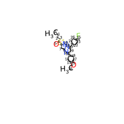 CCCC[S+]([O-])c1cc2nc(-c3ccc(OC)cc3)cc(-c3ccc(F)cc3)n2n1